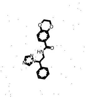 O=C(NCC(c1ccccc1)n1cncn1)c1ccc2c(c1)OCCO2